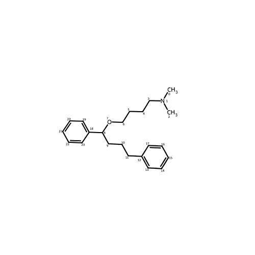 CN(C)CCCCOC(CCCc1ccccc1)c1ccccc1